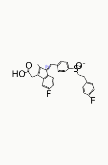 CC1=C(CC(=O)O)c2cc(F)ccc2/C1=C\c1ccc([S+]([O-])CCc2ccc(F)cc2)cc1